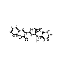 O=C(C=Cc1cc2ccccc2oc1=O)Nc1ccccc1C(=O)O